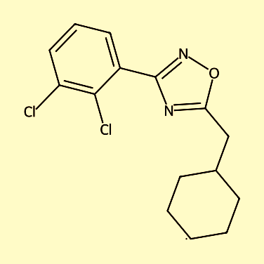 Clc1cccc(-c2noc(CC3CC[CH]CC3)n2)c1Cl